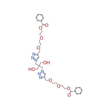 O=C(OCCOCCOCc1cn(CC(CO)(CO)Cn2cc(COCCOCCOC(=O)c3ccccc3)nn2)nn1)c1ccccc1